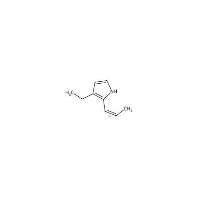 C/C=C\c1[nH]ccc1CC